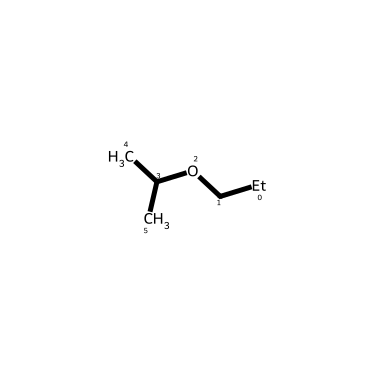 CC[CH]OC(C)C